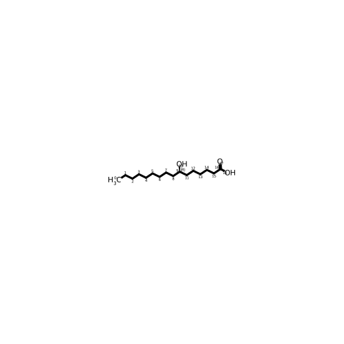 CCCCCCCCC[C@@H](O)CCCCCC(=O)O